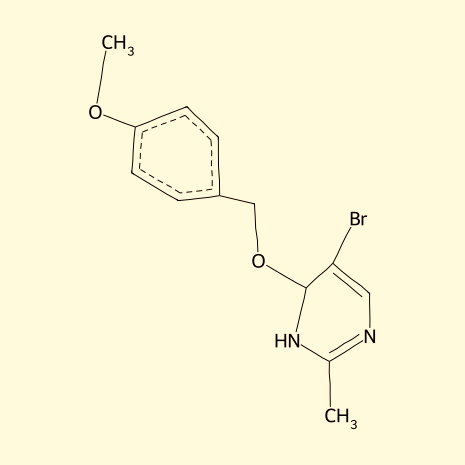 COc1ccc(COC2NC(C)=NC=C2Br)cc1